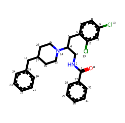 O=C(NCC(Cc1ccc(Cl)cc1Cl)N1CCC(Cc2ccccc2)CC1)c1ccccc1